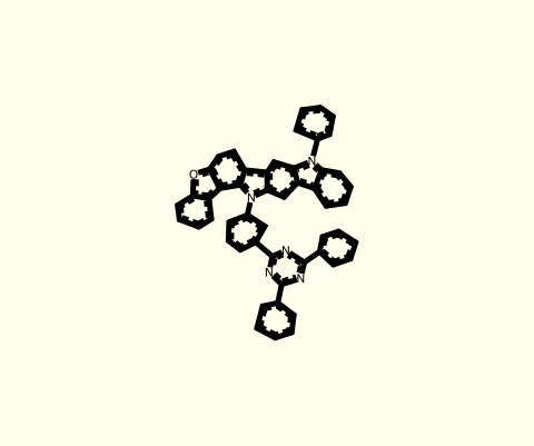 c1ccc(-c2nc(-c3ccccc3)nc(-c3cccc(-n4c5cc6c7ccccc7n(-c7ccccc7)c6cc5c5ccc6oc7ccccc7c6c54)c3)n2)cc1